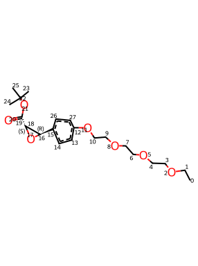 CCOCCOCCOCCOc1ccc([C@H]2O[C@@H]2C(=O)OC(C)(C)C)cc1